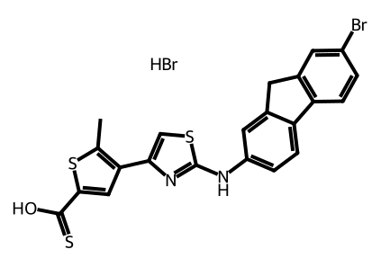 Br.Cc1sc(C(O)=S)cc1-c1csc(Nc2ccc3c(c2)Cc2cc(Br)ccc2-3)n1